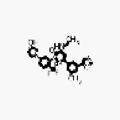 CCNc1cc(-c2cc(C)cc(-c3cnco3)c2)nn(-c2cc(N3CC[C@H](O)C3)ccc2C(F)(F)F)c1=O